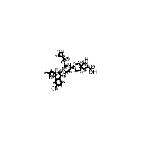 Cc1ccn(-c2cc(Cl)ccc2[C@@H](Oc2cc(N3CCC4(CC3)CN[C@H](C(=O)O)C4)nc(OC(=O)C3CCC3)n2)C(F)(F)F)n1